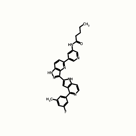 CCCCC(=O)Nc1cncc(-c2ccc3[nH]nc(-c4cc5c(-c6cc(C)cc(F)c6)nccc5[nH]4)c3n2)c1